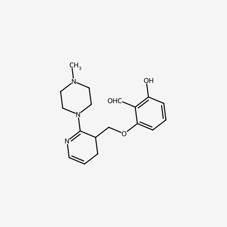 CN1CCN(C2=NC=CCC2COc2cccc(O)c2C=O)CC1